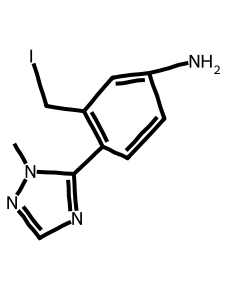 Cn1ncnc1-c1ccc(N)cc1CI